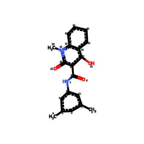 Cc1cc(C)cc(NC(=O)c2c(O)c3ccccc3n(C)c2=O)c1